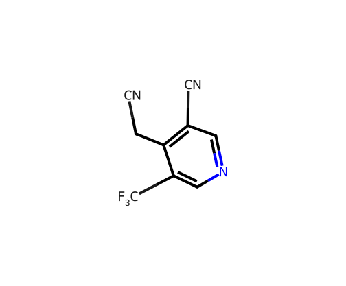 N#CCc1c(C#N)cncc1C(F)(F)F